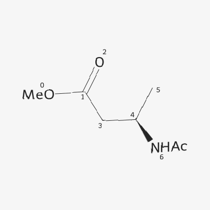 COC(=O)C[C@@H](C)NC(C)=O